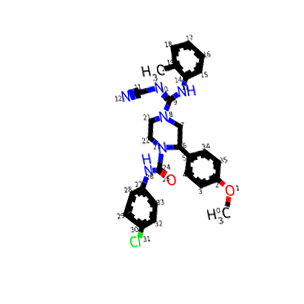 COc1ccc(C2CN(/C(=N\C#N)Nc3ccccc3C)CCN2C(=O)Nc2ccc(Cl)cc2)cc1